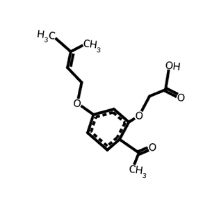 CC(=O)c1ccc(OCC=C(C)C)cc1OCC(=O)O